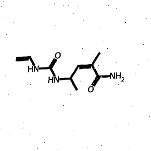 C=CNC(=O)NC(C)C=C(C)C(N)=O